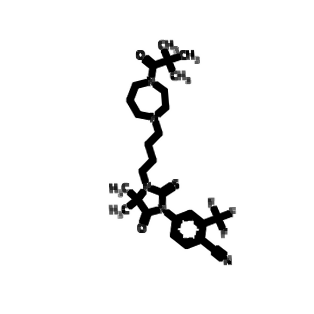 CC(C)(C)C(=O)N1CCCN(CCCCN2C(=S)N(c3ccc(C#N)c(C(F)(F)F)c3)C(=O)C2(C)C)CC1